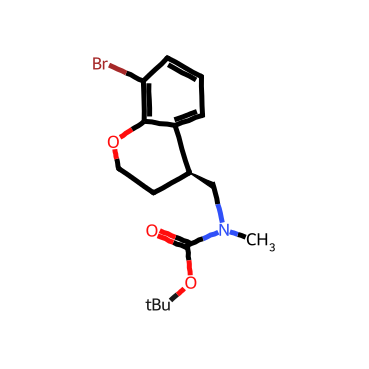 CN(C[C@H]1CCOc2c(Br)cccc21)C(=O)OC(C)(C)C